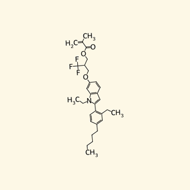 C=C(C)C(=O)OCC(COc1ccc2cc(-c3ccc(CCCCC)cc3CC)n(CC)c2c1)C(F)(F)F